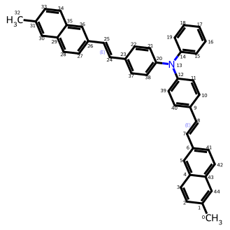 Cc1ccc2cc(/C=C/c3ccc(N(c4ccccc4)c4ccc(/C=C/c5ccc6cc(C)ccc6c5)cc4)cc3)ccc2c1